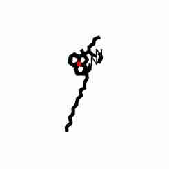 CCCCCCCCCCCCCCCCn1ccnc1C(CCCC)C(C)(Cc1ccccc1)c1ccccc1